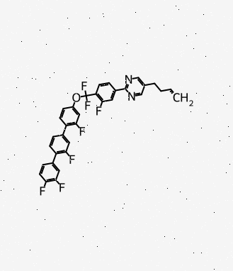 C=CCCc1cnc(-c2ccc(C(F)(F)Oc3ccc(-c4ccc(-c5ccc(F)c(F)c5)c(F)c4)c(F)c3)c(F)c2)nc1